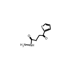 NNC(=O)[CH]CC(=O)c1cccs1